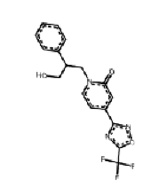 O=c1cc(-c2noc(C(F)(F)F)n2)ccn1CC(CO)c1ccccc1